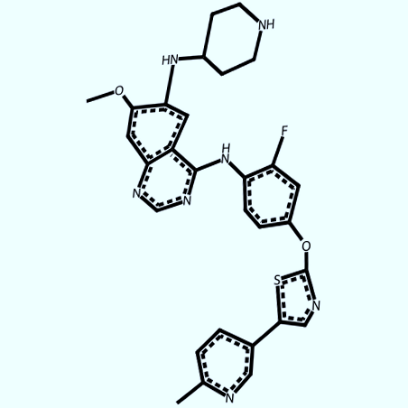 COc1cc2ncnc(Nc3ccc(Oc4ncc(-c5ccc(C)nc5)s4)cc3F)c2cc1NC1CCNCC1